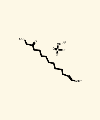 CCCCCCCCC=CCCCCCCCCCC(=O)CC(=O)[O-].O=P([O-])([O-])O.[Al+3]